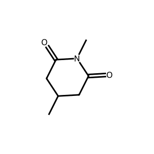 CC1CC(=O)N(C)C(=O)C1